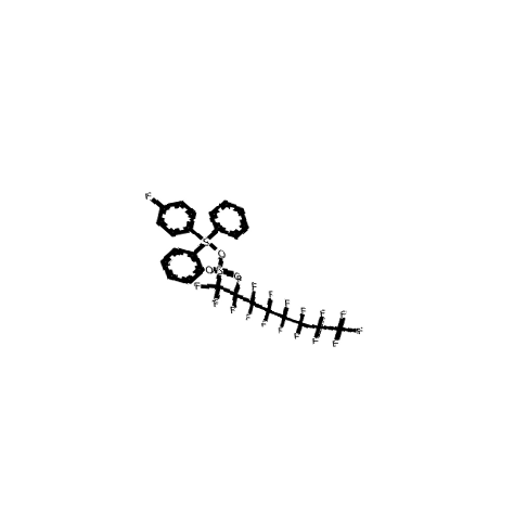 O=S(=O)(OS(c1ccccc1)(c1ccccc1)c1ccc(F)cc1)C(F)(F)C(F)(F)C(F)(F)C(F)(F)C(F)(F)C(F)(F)C(F)(F)C(F)(F)F